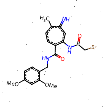 COc1ccc(CNC(=O)c2ccc(C)c(=N)cc2NC(=O)CBr)c(OC)c1